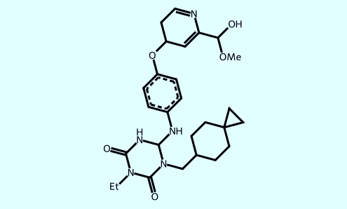 CCN1C(=O)NC(Nc2ccc(OC3C=C(C(O)OC)N=CC3)cc2)N(CC2CCC3(CC2)CC3)C1=O